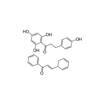 O=C(C=CC1C=CC=CC1)c1ccccc1.O=C(CCc1ccc(O)cc1)c1c(O)cc(O)cc1O